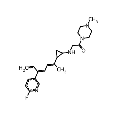 C=C/C(=C\C=C(/C)C1CC1NCC(=O)N1CCN(C)CC1)c1ccc(F)nc1